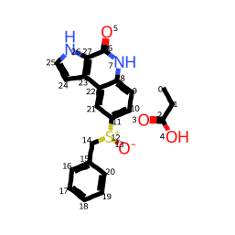 CCC(=O)O.O=c1[nH]c2ccc([S+]([O-])Cc3ccccc3)cc2c2cc[nH]c12